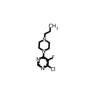 CCCN1CCN(c2ncnc(Cl)c2F)CC1